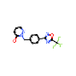 O=c1cccnn1Cc1ccc(-c2noc(C(F)(F)F)n2)cc1